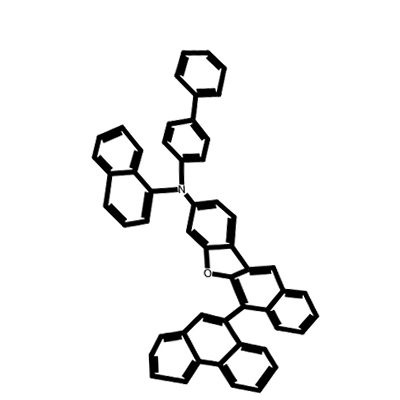 c1ccc(-c2ccc(N(c3ccc4c(c3)oc3c(-c5cc6ccccc6c6ccccc56)c5ccccc5cc34)c3cccc4ccccc34)cc2)cc1